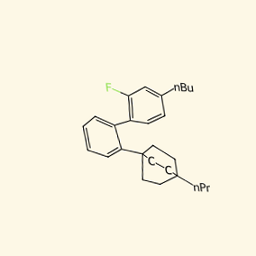 CCCCc1ccc(-c2ccccc2C23CCC(CCC)(CC2)CC3)c(F)c1